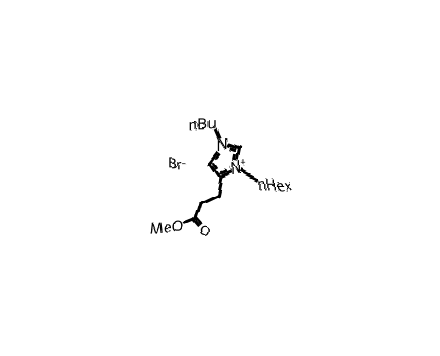 CCCCCC[n+]1cn(CCCC)cc1CCC(=O)OC.[Br-]